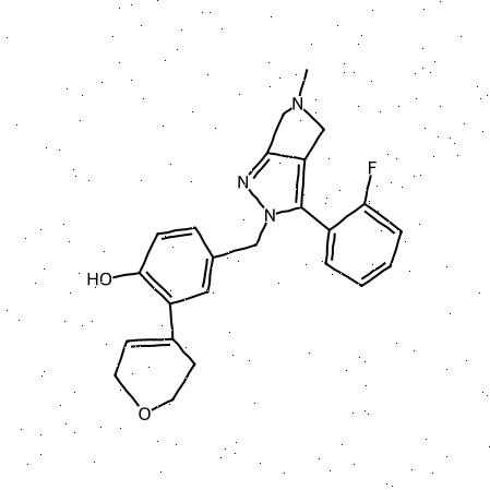 CN1Cc2nn(Cc3ccc(O)c(C4=CCOCC4)c3)c(-c3ccccc3F)c2C1